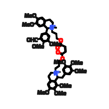 COc1cc2c(cc1OC)C(c1cc(C=O)c(OC)c(OC)c1)[N+](C)(CCCOC(=O)/C=C\C(=O)OCCC[N+]1(C)CCc3cc(OC)c(OC)c(OC)c3C1Cc1cc(OC)c(OC)c(OC)c1)CC2